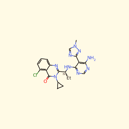 CC[C@H](Nc1ncnc(N)c1-c1ncn(C)n1)c1nc2cccc(Cl)c2c(=O)n1C1CC1